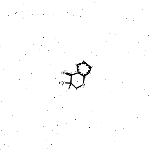 CC1(F)COc2ccccc2C1=N